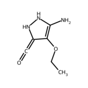 CCOC1=C(N)NNC1=C=O